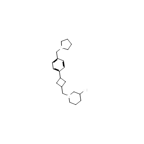 CC1CCCN(CC2CC(c3ccc(CN4CCCC4)cc3)C2)C1